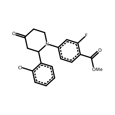 COC(=O)c1ccc(N2CCC(=O)CC2c2ccccc2Cl)cc1F